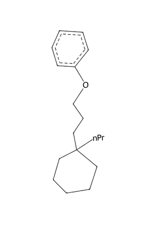 CCCC1(CCCOc2ccccc2)CCCCC1